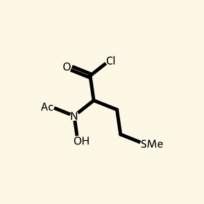 CSCCC(C(=O)Cl)N(O)C(C)=O